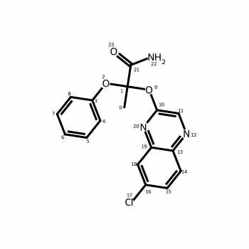 CC(Oc1ccccc1)(Oc1cnc2ccc(Cl)cc2n1)C(N)=O